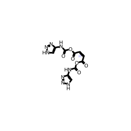 O=C(/C=C\C(=O)OC(=O)Nc1c[nH]nn1)OC(=O)Nc1c[nH]nn1